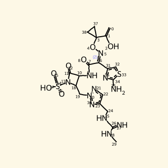 C=C(O)C1(O/N=C(\C(=O)NC2C(=O)N(S(=O)(=O)O)C2Cn2ncc(CNC(=N)NC)n2)c2csc(N)n2)CC1